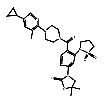 Cc1cc(C2CC2)cnc1N1CCN(C(=O)c2ccc(N3CC(C)(C)OC3=O)cc2N2CCCS2(=O)=O)CC1